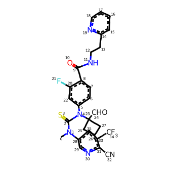 CN(C(=S)N(c1ccc(C(=O)NCCc2ccccn2)c(F)c1)C1(C=O)CCC1)c1cnc(C#N)c(C(F)(F)F)c1